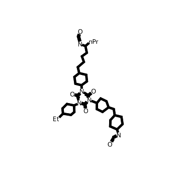 CCCC(CCCCC1CCC(n2c(=O)n(C3CCC(CC)CC3)c(=O)n(C3CCC(CC4CCC(N=C=O)CC4)CC3)c2=O)CC1)N=C=O